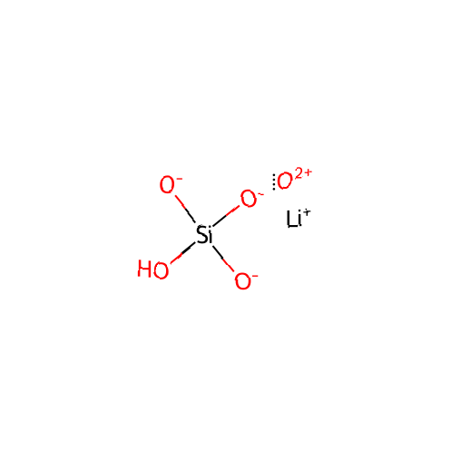 [Li+].[O+2].[O-][Si]([O-])([O-])O